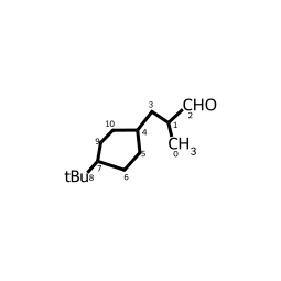 CC(C=O)CC1CCC(C(C)(C)C)CC1